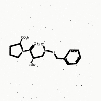 CCCC[C@H](CN(C=O)OCc1ccccc1)C(=O)N1CCC[C@H]1C(=O)O